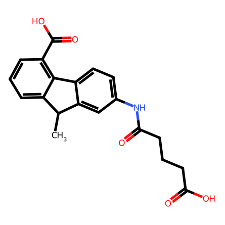 CC1c2cc(NC(=O)CCCC(=O)O)ccc2-c2c(C(=O)O)cccc21